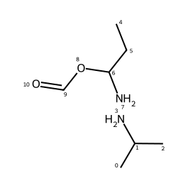 CC(C)N.CCC(N)OC=O